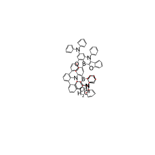 C=CN(c1ccccc1)c1ccccc1B1c2cc3c(cc2N(c2c(-c4ccccc4)cccc2-c2ccccc2)CC1[C@H](C)N(c1ccccc1)c1ccccc1)Oc1cc(N(c2ccccc2)c2ccccc2)cc2c1B3c1oc3ccccc3c1N2c1ccccc1